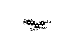 COc1cc(-c2cnc3cc4c(cc3c2)OCO4)cc(-c2ccc(C(C)(C)C)cc2)c1OC